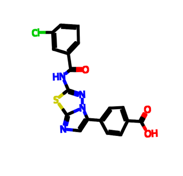 O=C(O)c1ccc(-c2cnc3sc(NC(=O)c4cccc(Cl)c4)nn23)cc1